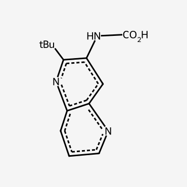 CC(C)(C)c1nc2cccnc2cc1NC(=O)O